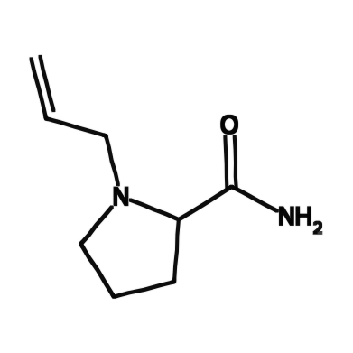 C=CCN1CCCC1C(N)=O